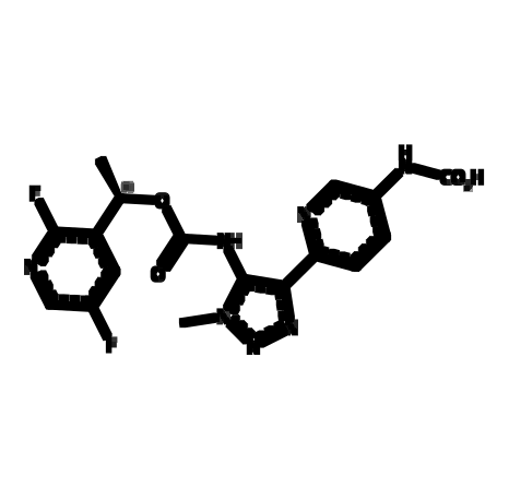 C[C@@H](OC(=O)Nc1c(-c2ccc(NC(=O)O)cn2)nnn1C)c1cc(F)cnc1F